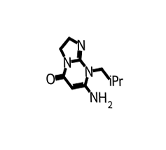 CC(C)CN1C(N)=CC(=O)N2CCN=C21